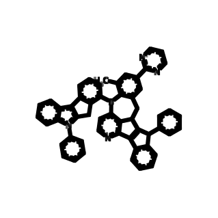 Cc1cc(-c2ncccn2)cc2c1B(c1cccc3c1Cc1c-3c3ccccc3n1-c1ccccc1)c1ccnc3c1C(C2)C1=C3c2ccccc2C1c1ccccc1